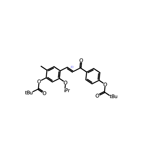 Cc1cc(/C=C/C(=O)c2ccc(OC(=O)C(C)(C)C)cc2)c(OC(C)C)cc1OC(=O)C(C)(C)C